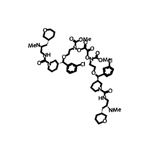 CN[C@@H](CNC(=O)N1CCC[C@@H](C(OCCN(OC(=O)C(=O)ON(CCOC(c2cccc(Cl)c2)[C@@H]2CCCN(C(=O)NC[C@@H](C[C@H]3CCCOC3)NC)C2)C(=O)OC)C(=O)OC)c2cccc(Cl)c2)C1)C[C@H]1CCCOC1